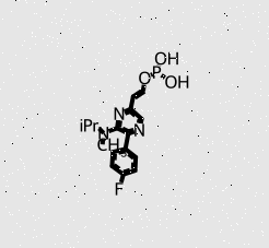 CC(C)N(C)c1nc(/C=C/OP(O)O)cnc1-c1ccc(F)cc1